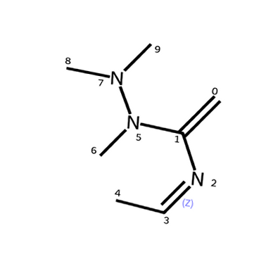 C=C(/N=C\C)N(C)N(C)C